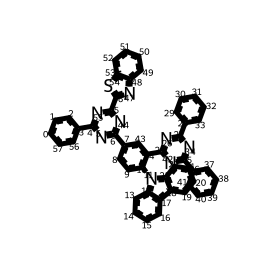 c1ccc(-c2nc(-c3ccc(-n4c5ccccc5c5ccccc54)c(-c4nc(-c5ccccc5)nc(-c5ccccc5)n4)c3)nc(-c3nc4ccccc4s3)n2)cc1